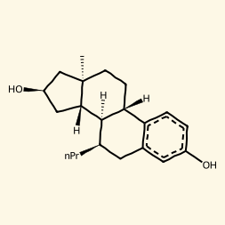 CCC[C@@H]1Cc2cc(O)ccc2[C@H]2CC[C@]3(C)C[C@H](O)C[C@H]3[C@H]12